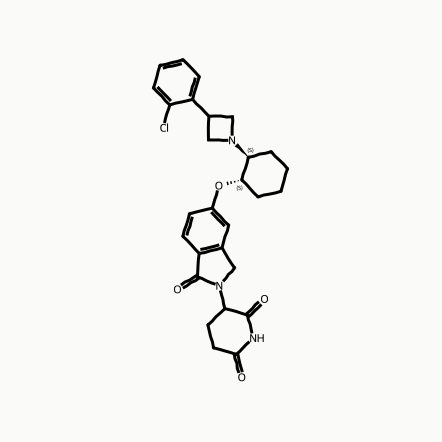 O=C1CCC(N2Cc3cc(O[C@H]4CCCC[C@@H]4N4CC(c5ccccc5Cl)C4)ccc3C2=O)C(=O)N1